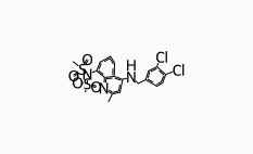 Cc1cc(NCc2ccc(Cl)c(Cl)c2)c2cccc(N(S(C)(=O)=O)S(C)(=O)=O)c2n1